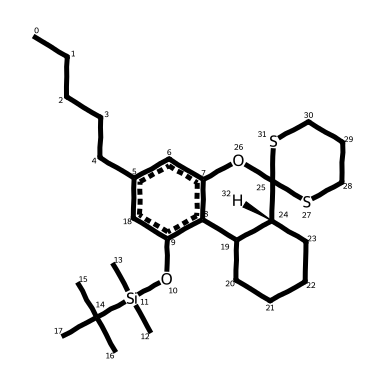 CCCCCc1cc2c(c(O[Si](C)(C)C(C)(C)C)c1)C1CCCC[C@H]1C1(O2)SCCCS1